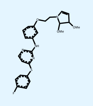 COC1C=CN(CCOc2cccc(Nc3nccc(Sc4ccc(F)cc4)n3)c2)C1OC